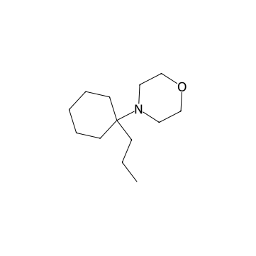 CCCC1(N2CCOCC2)CCCCC1